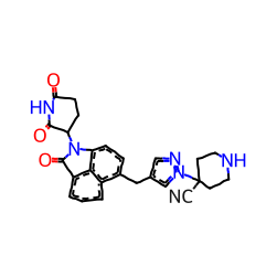 N#CC1(n2cc(Cc3ccc4c5c(cccc35)C(=O)N4C3CCC(=O)NC3=O)cn2)CCNCC1